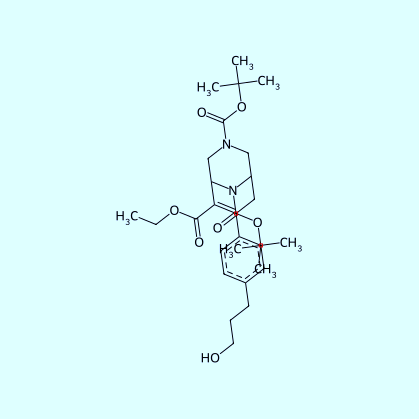 CCOC(=O)C1=C(c2ccc(CCCO)cc2)CC2CN(C(=O)OC(C)(C)C)CC1N2C(=O)OC(C)(C)C